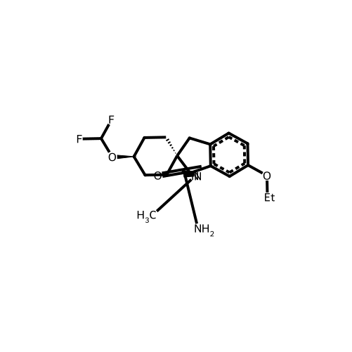 CCOc1ccc2c(c1)C1(N=C(N)N(C)C1=O)[C@]1(CC[C@H](OC(F)F)CC1)C2